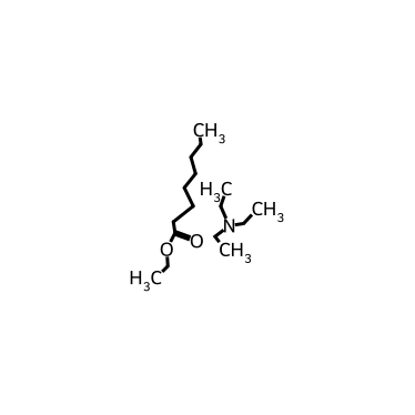 CCCCCCCC(=O)OCC.CCN(CC)CC